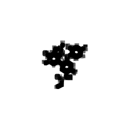 CC[S+]([O-])Nc1cc(-c2cn(C)c(=O)c3cn(C)nc23)c(Oc2ccc(F)cc2F)cc1F